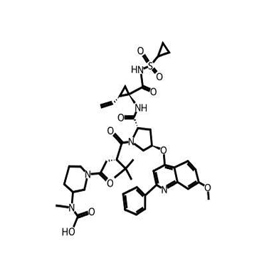 C=C[C@@H]1C[C@]1(NC(=O)[C@@H]1C[C@@H](Oc2cc(-c3ccccc3)nc3cc(OC)ccc23)CN1C(=O)[C@@H](CC(=O)N1CCCC(N(C)C(=O)O)C1)C(C)(C)C)C(=O)NS(=O)(=O)C1CC1